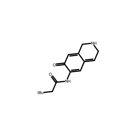 CC(C)(C)CC(=O)NC1=CC2=CCNCC2=CC1=O